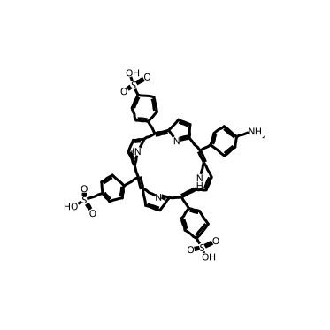 Nc1ccc(-c2c3nc(c(-c4ccc(S(=O)(=O)O)cc4)c4ccc([nH]4)c(-c4ccc(S(=O)(=O)O)cc4)c4nc(c(-c5ccc(S(=O)(=O)O)cc5)c5ccc2[nH]5)C=C4)C=C3)cc1